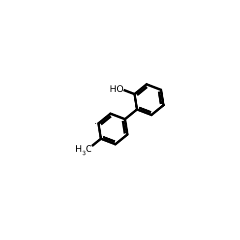 Cc1[c]cc(-c2ccccc2O)cc1